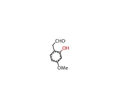 COc1ccc(C[C]=O)c(O)c1